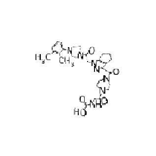 Cc1cccc(N2CCN(C(=O)Cn3nc(C(=O)N4CCN(C(=O)CNC(=O)O)CC4)c4c3CCC4)CC2)c1C